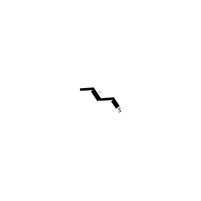 C/C=C/C=S